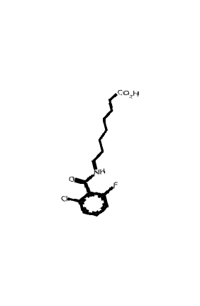 O=C(O)CCCCCCCNC(=O)c1c(F)cccc1Cl